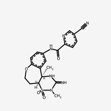 CN1C(=N)N[C@]2(C)c3cc(NC(=O)c4ccc(C#N)cn4)ccc3OCC[C@@H]2S1(=O)=O